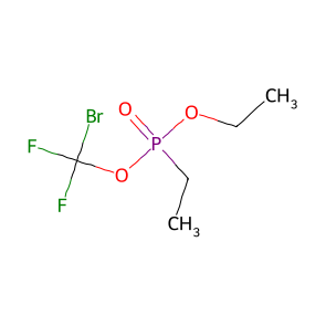 CCOP(=O)(CC)OC(F)(F)Br